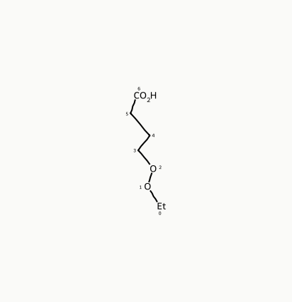 CCOOCCCC(=O)O